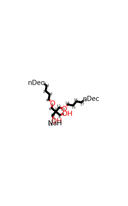 CCCCCCCCCCCCCCOCC(CO)(CO)COCCCCCCCCCCCCCC.[NaH]